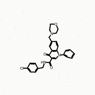 O=C(NCc1ccc(Cl)cc1)c1cn(-c2ccccc2)c2ccc(CN3CCOCC3)cc2c1=O